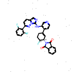 O=C1c2ccccc2C(=O)N1[C@H]1C=C(c2ccncc2Nc2ncc3ccc(-c4c(F)cccc4F)nn23)CC[C@@H]1F